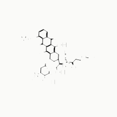 COc1cccc2c1C(=O)c1c(O)c3c(c(O)c1C2=O)C[C@@](O)(/C(CO)=N\NC(=O)CCOC(C)C)C[C@@H]3OC1C[C@H](N)[C@H](C)[C@H](C)O1